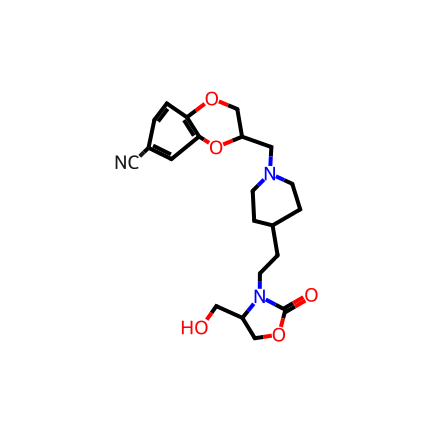 N#Cc1ccc2c(c1)OC(CN1CCC(CCN3C(=O)OCC3CO)CC1)CO2